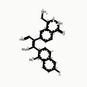 CN/C(=C(\C=N)c1ccc2c(=O)[nH]nc(CN)c2c1)c1ccc2cc(F)ccc2c1C#N